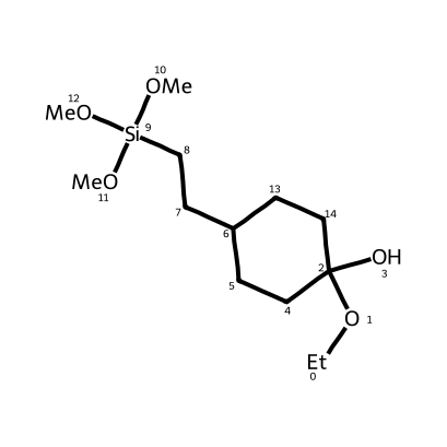 CCOC1(O)CCC(CC[Si](OC)(OC)OC)CC1